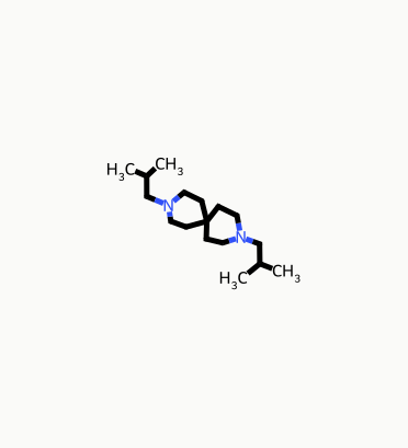 CC(C)CN1CCC2(CC1)CCN(CC(C)C)CC2